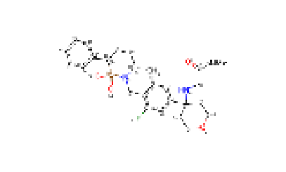 CNC(=O)CNC1(c2ccc(CN3[C@@H](C)CC[C@H](c4ccccc4)S3(=O)=O)c(F)c2)CCOCC1